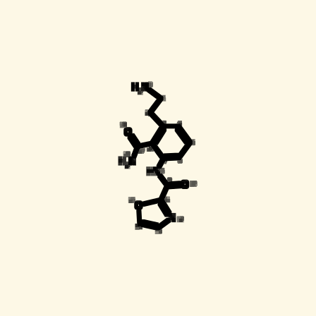 NC[CH]c1cccc(NC(=O)c2ncco2)c1C(N)=O